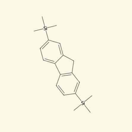 C[Si](C)(C)c1ccc2c(c1)Cc1cc([Si](C)(C)C)ccc1-2